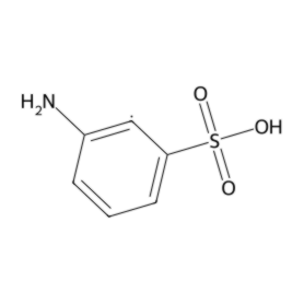 Nc1[c]c(S(=O)(=O)O)ccc1